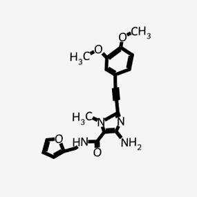 COc1ccc(C#Cc2nc(N)c(C(=O)NCc3ccco3)n2C)cc1OC